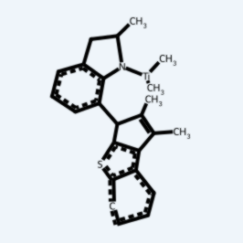 CC1=C(C)C(c2cccc3c2[N]([Ti]([CH3])[CH3])C(C)C3)c2sc3ccccc3c21